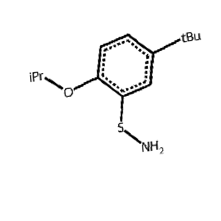 CC(C)Oc1ccc(C(C)(C)C)cc1SN